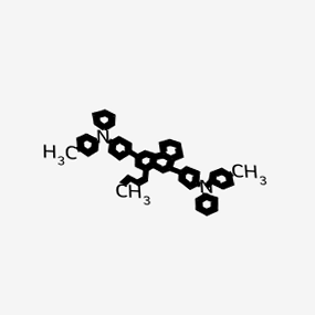 C/C=C\C=C/c1cc(-c2ccc(N(c3ccccc3)c3ccc(C)cc3)cc2)cc2c1cc(-c1ccc(N(c3ccccc3)c3ccc(C)cc3)cc1)c1ccccc12